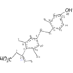 C/C=C(/CC(=O)O)c1c(C)cc(CCc2ccc(O)cc2C)cc1C